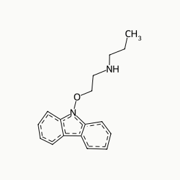 CCCNCCOn1c2ccccc2c2ccccc21